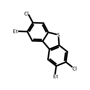 CCc1cc2c(cc1Cl)sc1cc(Cl)c(CC)cc12